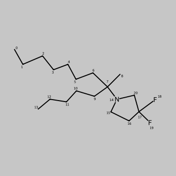 CCCCCCCC(C)(CCCCC)N1CCC(F)(F)C1